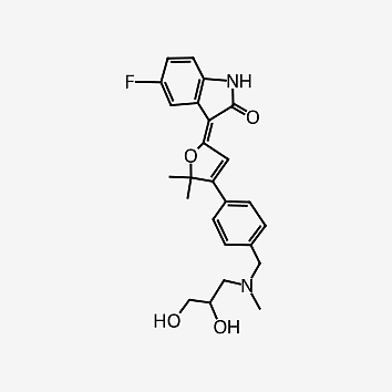 CN(Cc1ccc(C2=C/C(=C3\C(=O)Nc4ccc(F)cc43)OC2(C)C)cc1)CC(O)CO